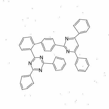 c1ccc(-c2cc(-c3ccccc3)nc(-c3ccc(-c4ccccc4-c4nc(-c5ccccc5)nc(-c5ccccc5)n4)cc3)n2)cc1